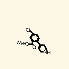 COC(=O)c1cc(Cl)ccc1C1=CCNCC1